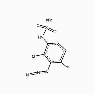 CCCS(=O)(=O)Nc1ccc(F)c(N=[N+]=[N-])c1Cl